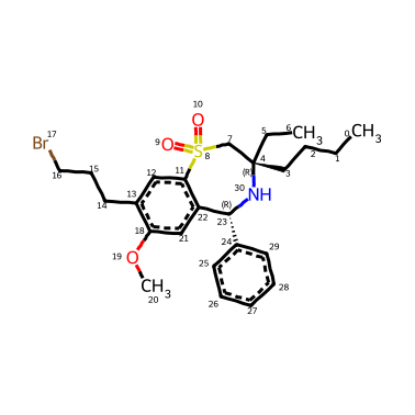 CCCC[C@]1(CC)CS(=O)(=O)c2cc(CCCBr)c(OC)cc2[C@@H](c2ccccc2)N1